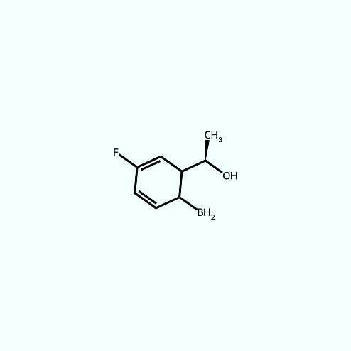 BC1C=CC(F)=CC1[C@@H](C)O